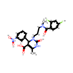 CC1=C(C(=O)O)C(c2cccc([N+](=O)[O-])c2)N(CCCN(C)C(=O)c2ccc(F)cc2F)C(=O)N1